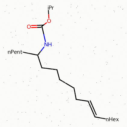 CCCCCC/C=C/CCCCCC(CCCCC)NC(=O)OC(C)C